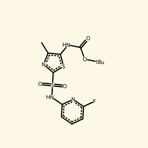 Cc1nc(S(=O)(=O)Nc2cccc(F)n2)sc1NC(=O)OC(C)(C)C